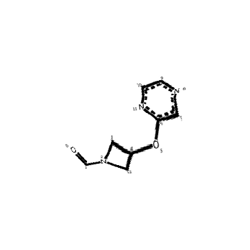 O=CN1CC(Oc2cnccn2)C1